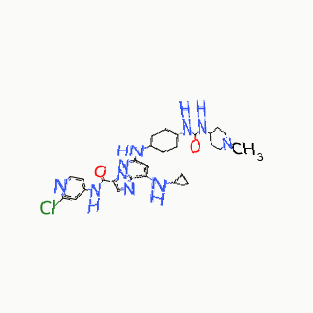 CN1CCC(NC(=O)N[C@H]2CC[C@H](Nc3cc(NC4CC4)c4ncc(C(=O)Nc5ccnc(Cl)c5)n4n3)CC2)CC1